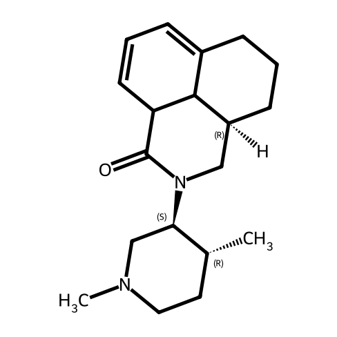 C[C@@H]1CCN(C)C[C@H]1N1C[C@@H]2CCCC3=CC=CC(C1=O)C32